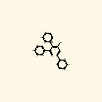 C=C(C(=C(C)C=Cc1ccccc1)c1ccccc1)c1ccccc1